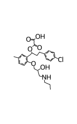 CCCNCC(O)COc1ccc(C)cc1C(CCc1ccc(Cl)cc1)OC(=O)C(=O)O